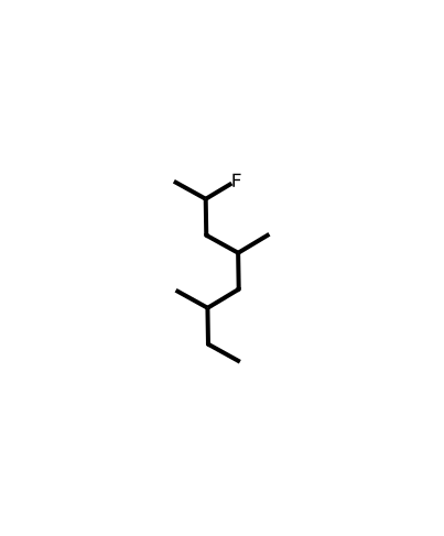 CCC(C)CC(C)CC(C)F